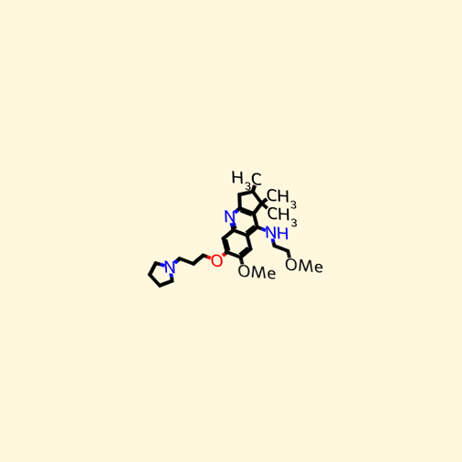 COCCNc1c2c(nc3cc(OCCCN4CCCC4)c(OC)cc13)CC(C)C2(C)C